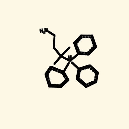 CC(C)(CCN)[PH](c1ccccc1)(c1ccccc1)c1ccccc1